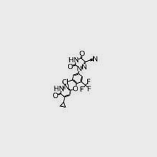 N#Cc1nn(-c2cc(Cl)c(Oc3cc(C4CC4)c(=O)[nH]n3)c(C(F)(F)F)c2)c(=O)[nH]c1=O